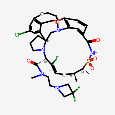 C[C@@H]1[C@@H](C)C/C=C(\F)[C@H](C(=O)N(C)CCN2CC(F)(F)C2)N2CCC[C@@]23CN2CCCCc4cc(Cl)cc3c4COc3ccc(cc32)C(=O)NS1(=O)=O